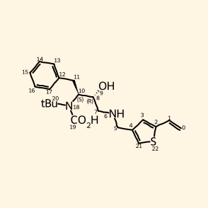 C=Cc1cc(CNC[C@@H](O)[C@H](Cc2ccccc2)N(C(=O)O)C(C)(C)C)cs1